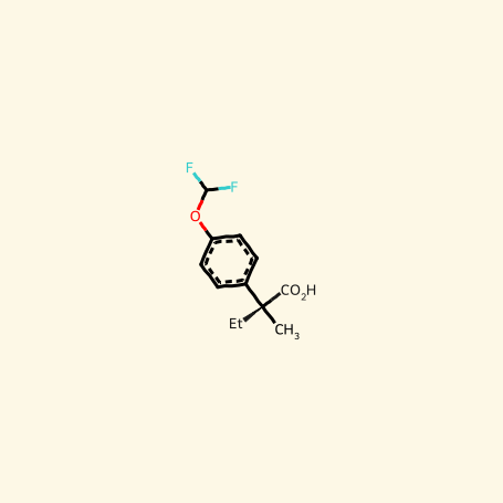 CC[C@](C)(C(=O)O)c1ccc(OC(F)F)cc1